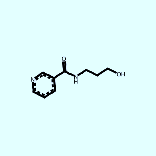 O=C(NCCCO)c1c[c]cnc1